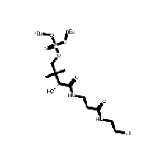 CCCCOP(=O)(OCCCC)OCC(C)(C)[C@@H](O)C(=O)NCCC(=O)NCCS